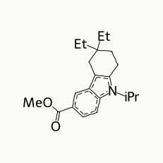 CCC1(CC)CCc2c(c3cc(C(=O)OC)ccc3n2C(C)C)C1